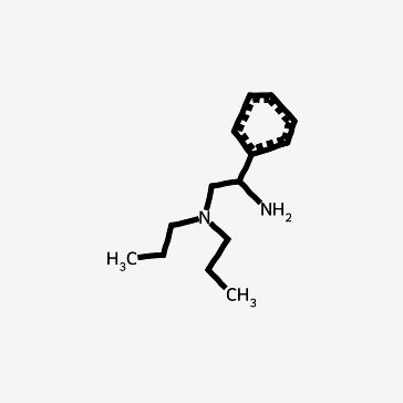 CCCN(CCC)CC(N)c1ccccc1